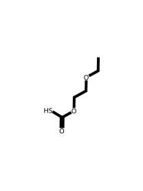 CCOCCOC(=O)S